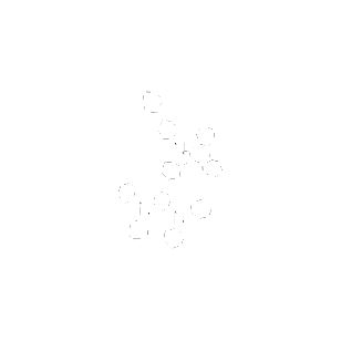 c1ccc(-c2ccc(-n3c4ccc(-c5cc(N(c6ccccc6)c6ccccc6)cc(N(c6ccccc6)c6ccccc6)c5)cc4c4c5ccccc5c5ccccc5c43)cc2)cc1